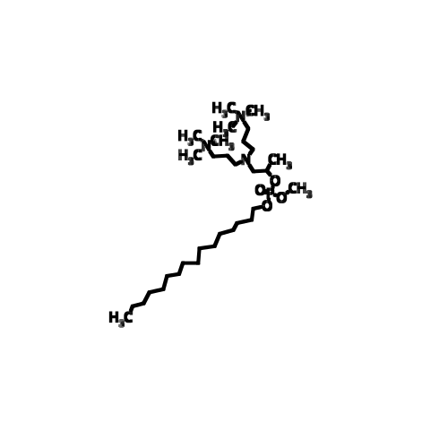 CCCCCCCCCCCCCCCCOP(=O)(OC)OC(C)CN(CCC[N+](C)(C)C)CCC[N+](C)(C)C